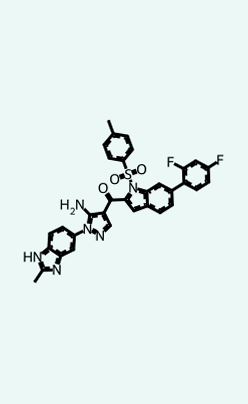 Cc1ccc(S(=O)(=O)n2c(C(=O)c3cnn(-c4ccc5[nH]c(C)nc5c4)c3N)cc3ccc(-c4ccc(F)cc4F)cc32)cc1